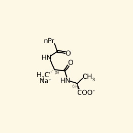 CCCC(=O)N[C@@H](C)C(=O)N[C@@H](C)C(=O)[O-].[Na+]